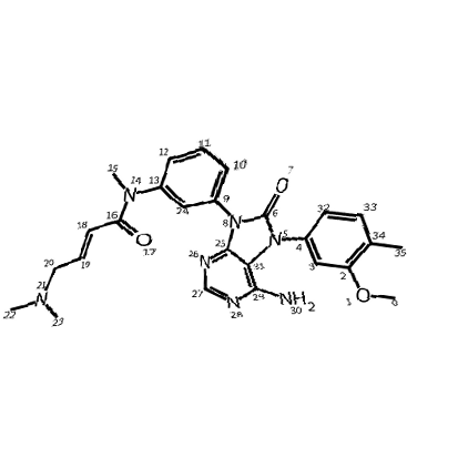 COc1cc(-n2c(=O)n(-c3cccc(N(C)C(=O)C=CCN(C)C)c3)c3ncnc(N)c32)ccc1C